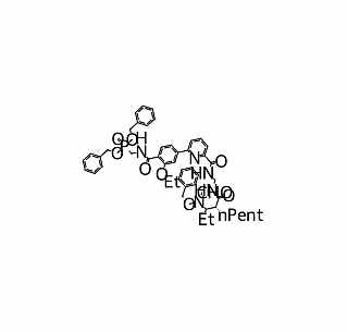 CCCCC[C@@H](C(=O)NCNC(=O)c1cccc(-c2ccc(C(=O)NCP(=O)(OCc3ccccc3)OCc3ccccc3)c(OCC)c2)n1)[C@@H](CC)N(C=O)OCc1ccccc1